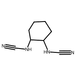 N#CNC1CCCCC1NC#N